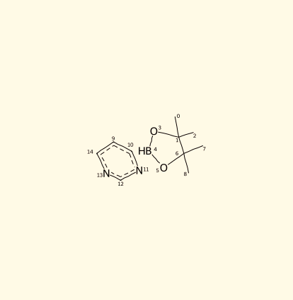 CC1(C)OBOC1(C)C.c1cncnc1